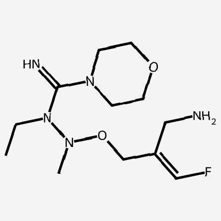 CCN(C(=N)N1CCOCC1)N(C)OC/C(=C/F)CN